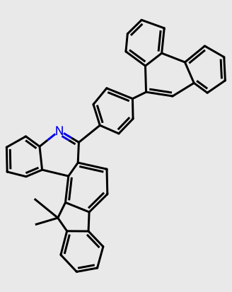 CC1(C)c2ccccc2-c2ccc3c(-c4ccc(-c5cc6ccccc6c6ccccc56)cc4)nc4ccccc4c3c21